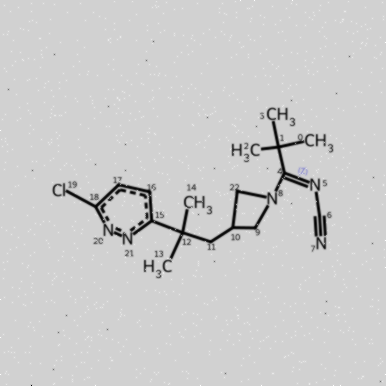 CC(C)(C)/C(=N/C#N)N1CC(CC(C)(C)c2ccc(Cl)nn2)C1